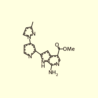 COC(=O)c1cnc(N)c2[nH]c(-c3cc(-n4ccc(C)n4)ccn3)cc12